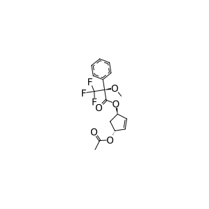 CO[C@](C(=O)O[C@H]1C=C[C@H](OC(C)=O)C1)(c1ccccc1)C(F)(F)F